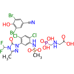 Cc1nn(-c2cc(NS(C)(=O)=O)c(Cl)cc2Cl)c(=O)n1C(F)F.N#Cc1cc(Br)c(O)c(Br)c1.O=C(O)CNCP(=O)(O)O